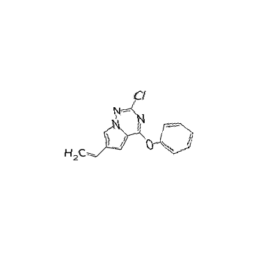 C=Cc1cc2c(Oc3ccccc3)nc(Cl)nn2c1